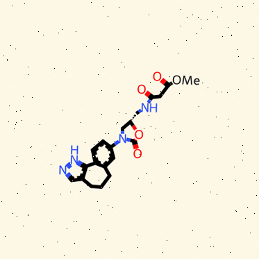 COC(=O)CC(=O)NC[C@H]1CN(c2ccc3c(c2)CCCc2cn[nH]c2-3)C(=O)O1